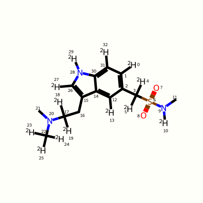 [2H]c1c(C([2H])([2H])S(=O)(=O)N([2H])C)c([2H])c2c(CC([2H])([2H])N(C)C([2H])([2H])[2H])c([2H])n([2H])c2c1[2H]